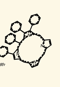 C1=Cc2cc3[nH]c(c(-c4ccccc4)c4nc(cc5ccc(cc1n2)[nH]5)C=C4c1ccccc1)c(-c1ccccc1)c3-c1ccccc1.[Rh]